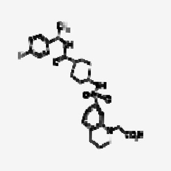 CC(NC(=O)C1CCC(NS(=O)(=O)c2ccc3c(c2)N(CC(=O)O)CCC3)CC1)c1ccc(F)cc1